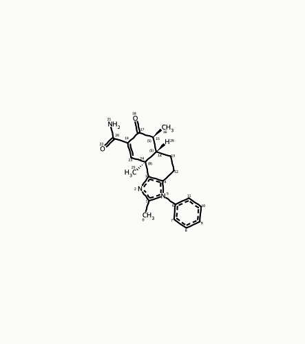 Cc1nc2c(n1-c1ccccc1)CC[C@H]1[C@H](C)C(=O)C(C(N)=O)=C[C@]21C